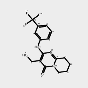 O=c1c(CO)c(Nc2cccc(C(F)(F)F)c2)nc2n1CCCC2